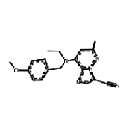 CCN(Cc1ccc(OC)cc1)c1cc(C)nn2c(C#N)cnc12